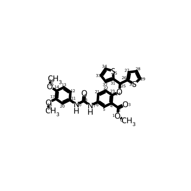 COC(=O)c1cc(NC(=O)Nc2ccc(OC)c(OC)c2)ccc1OC(c1cccs1)c1cccs1